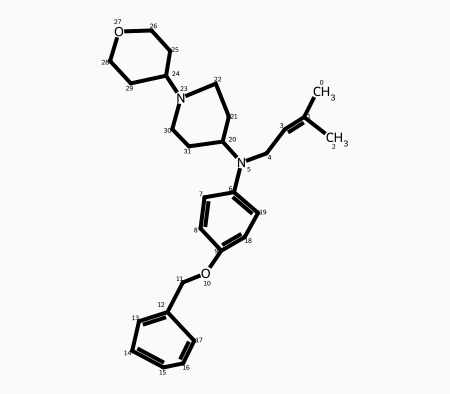 CC(C)=CCN(c1ccc(OCc2ccccc2)cc1)C1CCN(C2CCOCC2)CC1